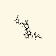 CCOC(=O)C(=O)Nc1cc(C)c(Oc2ccc(O)c(CCC3CCC(=O)C3)c2)c2c1CCC2